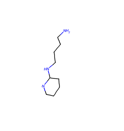 NCCCCNC1CCCC[N]1